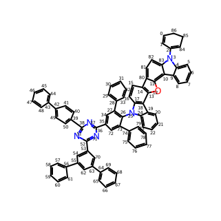 C1=CC(n2c3ccccc3c3c4oc5c(ccc6c5c5ccccc5n6-c5c(-c6ccccc6)cc(-c6nc(-c7ccc(-c8ccccc8)cc7)nc(-c7cc(-c8ccccc8)cc(-c8ccccc8)c7)n6)cc5-c5ccccc5)c4ccc32)=CCC1